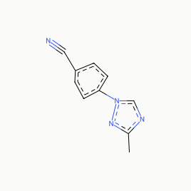 Cc1ncn(-c2ccc(C#N)cc2)n1